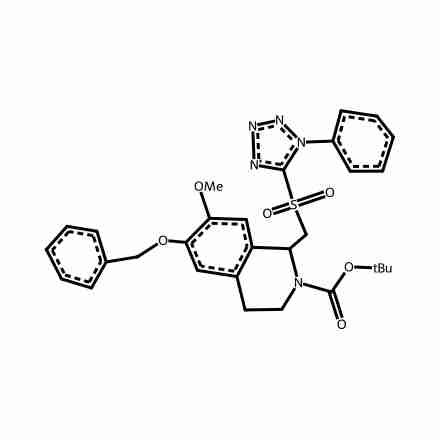 COc1cc2c(cc1OCc1ccccc1)CCN(C(=O)OC(C)(C)C)C2CS(=O)(=O)c1nnnn1-c1ccccc1